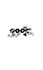 CCN(c1c(C#N)nnc2cc(-c3ccc(-c4nccnc4OC)cc3OC)ccc12)C1CC1